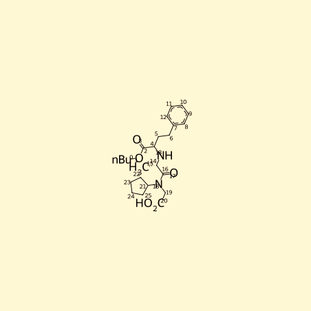 CCCCOC(=O)C(CCc1ccccc1)N[C@@H](C)C(=O)N(CC(=O)O)C1CCCC1